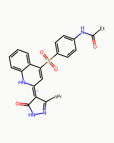 CCCC1=NNC(=O)/C1=C1/C=C(S(=O)(=O)c2ccc(NC(=O)CC)cc2)c2ccccc2N1